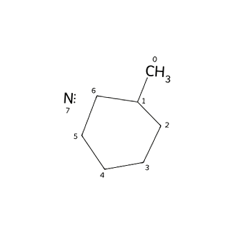 CC1CCCCC1.[N]